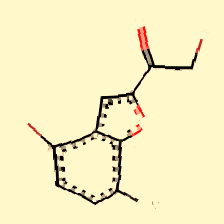 COc1ccc(Br)c2cc(C(=O)CBr)oc12